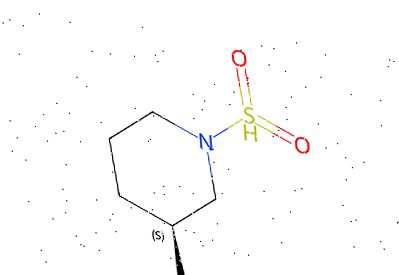 C[C@H]1CCCN([SH](=O)=O)C1